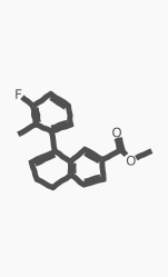 COC(=O)c1ccc2c(c1)C(c1cccc(F)c1C)=CCC2